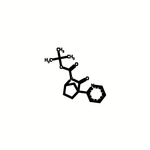 CC(C)(C)OC(=O)N1C(=O)C2(c3ccccn3)CCC1C2